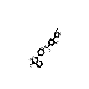 Cn1cc(-c2ccc(C(=O)N[C@H]3CC[C@H](c4n[nH]c(=O)c5ccccc54)CC3)cc2F)cn1